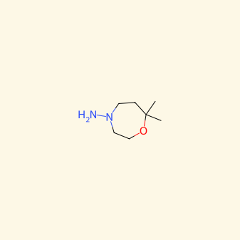 CC1(C)CCN(N)CCO1